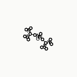 O=c1n(-c2ccc(-c3cc(-n4c5ccccc5c5ccccc54)cc(-n4c5ccccc5c5ccccc54)c3)cc2)c2ccccc2n1-c1ccc(-c2cc(-n3c4ccccc4c4ccccc43)cc(-n3c4ccccc4c4ccccc43)c2)cc1